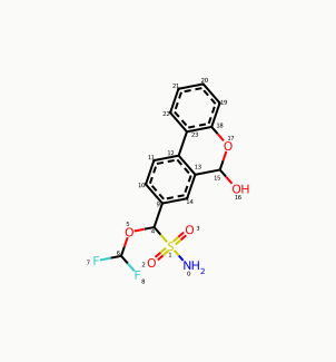 NS(=O)(=O)C(OC(F)F)c1ccc2c(c1)C(O)Oc1ccccc1-2